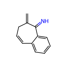 C=C1CC=Cc2ccccc2C1=N